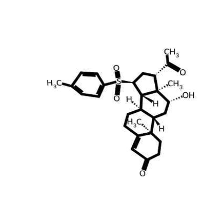 CC(=O)[C@H]1C[C@H](S(=O)(=O)c2ccc(C)cc2)[C@H]2[C@@H]3CCC4=CC(=O)CC[C@]4(C)[C@H]3C[C@@H](O)[C@@]21C